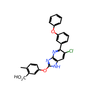 Cc1ccc(Oc2nc3nc(-c4cccc(Oc5ccccc5)c4)c(Cl)cc3[nH]2)cc1C(=O)O